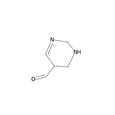 O=CC1C=NCNC1